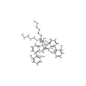 CCCCCC[Si](CCCCCC)=[Hf]([CH3])([CH3])([CH]1C=Cc2c(-c3c(C)cccc3C)cccc21)[CH]1C=Cc2c(-c3c(C)cccc3C)cccc21